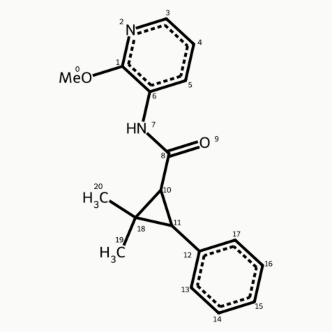 COc1ncccc1NC(=O)C1C(c2ccccc2)C1(C)C